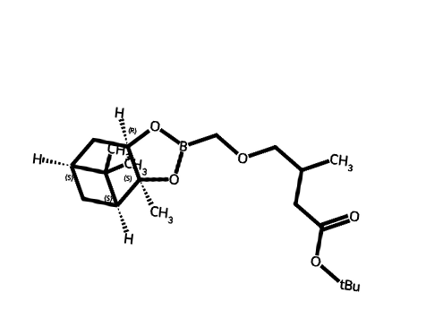 CC(COCB1O[C@@H]2C[C@@H]3C[C@@H](C3(C)C)[C@]2(C)O1)CC(=O)OC(C)(C)C